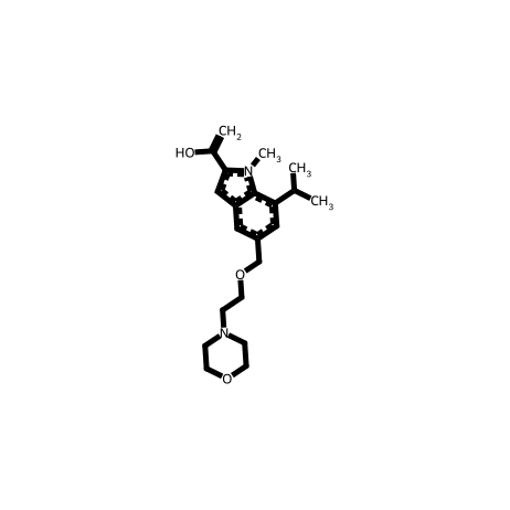 C=C(O)c1cc2cc(COCCN3CCOCC3)cc(C(C)C)c2n1C